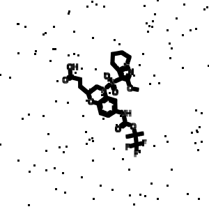 COc1nn2c(c1S(=O)(=O)N1CC(CCC(=O)O)Oc3ccc(NC(=O)OC(C)(C)C(F)(F)F)cc31)CCCC2